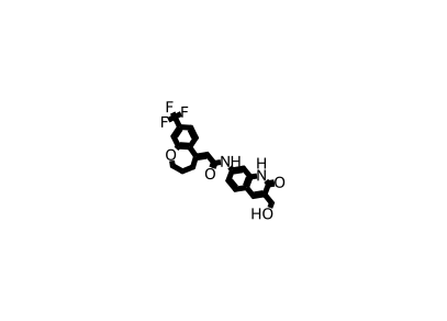 O=C(/C=C1\CCCOc2cc(C(F)(F)F)ccc21)Nc1ccc2cc(CO)c(=O)[nH]c2c1